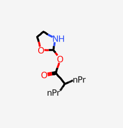 CCCC(CCC)C(=O)OC1NCCO1